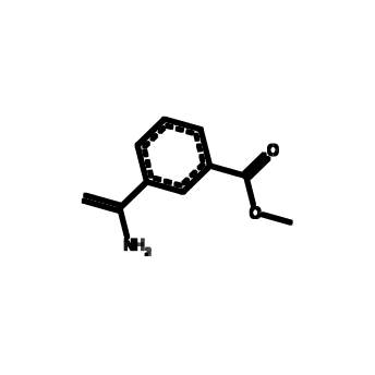 C=C(N)c1cccc(C(=O)OC)c1